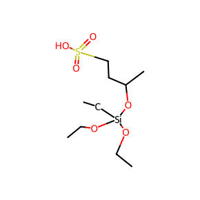 CCO[Si](CC)(OCC)OC(C)CCS(=O)(=O)O